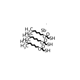 CC(C)CCCCCOC(=O)CS.CC(C)CCCCCOC(=O)CS.CC(C)CCCCCOC(=O)CS.[Sb]